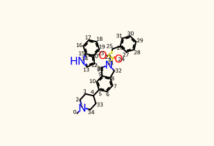 CN1CCC(c2ccc3c(c2)[C@H](c2c[nH]c4ccccc24)N(S(=O)(=O)Cc2ccccc2)C3)CC1